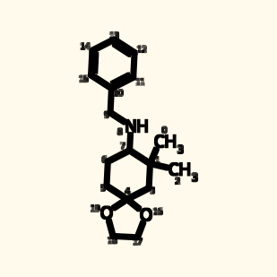 CC1(C)CC2(CCC1NCc1ccccc1)OCCO2